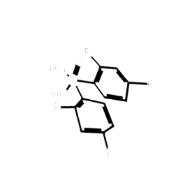 O=S(O)(O)(c1ccc(F)cc1F)c1ccc(F)cc1F